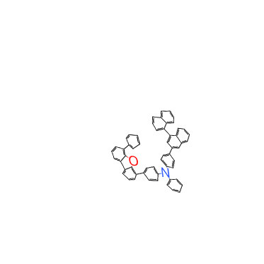 c1ccc(-c2cccc3c2oc2c(-c4ccc(N(c5ccccc5)c5ccc(-c6cc(-c7cccc8ccccc78)c7ccccc7c6)cc5)cc4)cccc23)cc1